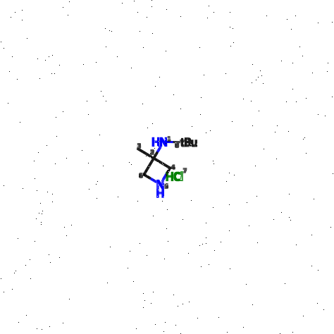 CC(C)(C)NC1(C)CNC1.Cl